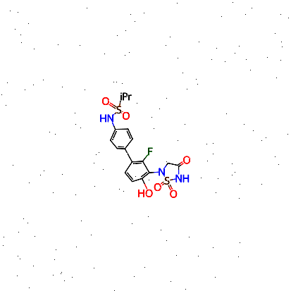 CC(C)S(=O)(=O)Nc1ccc(-c2ccc(O)c(N3CC(=O)NS3(=O)=O)c2F)cc1